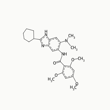 COc1cc(OC)c(C(=O)Nc2cc3nc(C4CCCCC4)[nH]c3cc2N(C)C)c(OC)c1